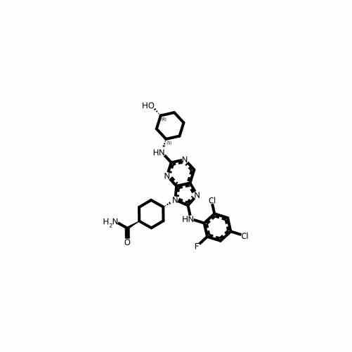 NC(=O)[C@H]1CC[C@H](n2c(Nc3c(F)cc(Cl)cc3Cl)nc3cnc(N[C@H]4CCC[C@@H](O)C4)nc32)CC1